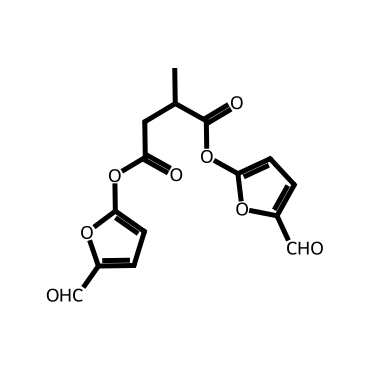 CC(CC(=O)Oc1ccc(C=O)o1)C(=O)Oc1ccc(C=O)o1